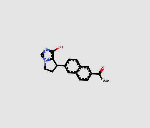 CNC(=O)c1ccc2cc([C@H]3CCn4cnc(O)c43)ccc2c1